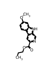 CCCOC(=O)c1cc2c(cn1)[nH]c1cc(OC)ccc12